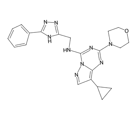 c1ccc(-c2nnc(CNc3nc(N4CCOCC4)nc4c(C5CC5)cnn34)[nH]2)cc1